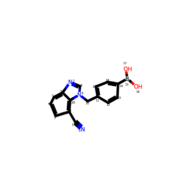 N#Cc1cccc2ncn(Cc3ccc(B(O)O)cc3)c12